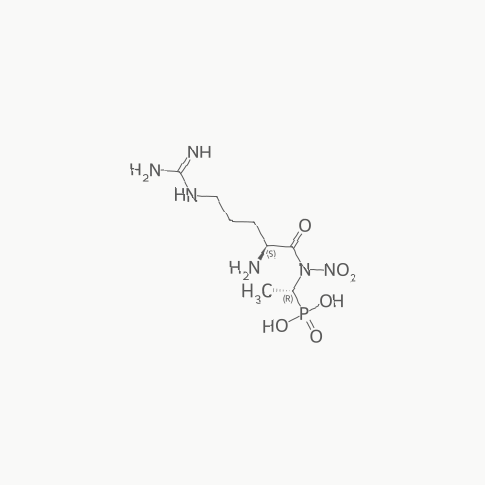 C[C@H](N(C(=O)[C@@H](N)CCCNC(=N)N)[N+](=O)[O-])P(=O)(O)O